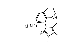 CC1=C(C)C(c2c(C)ccc3c2NCCC3)[C]([Ti+2])=C1C.[Cl-].[Cl-]